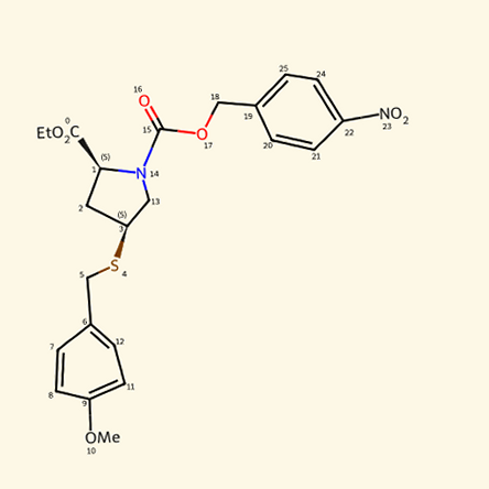 CCOC(=O)[C@@H]1C[C@H](SCc2ccc(OC)cc2)CN1C(=O)OCc1ccc([N+](=O)[O-])cc1